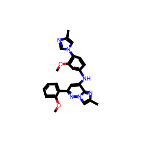 COc1ccccc1-c1cc(Nc2ccc(-n3cnc(C)c3)c(OC)c2)c2nc(C)cn2n1